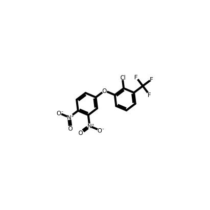 O=[N+]([O-])c1ccc(Oc2cccc(C(F)(F)F)c2Cl)cc1[N+](=O)[O-]